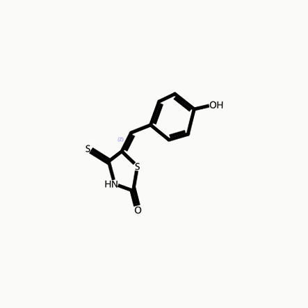 O=C1NC(=S)/C(=C/c2ccc(O)cc2)S1